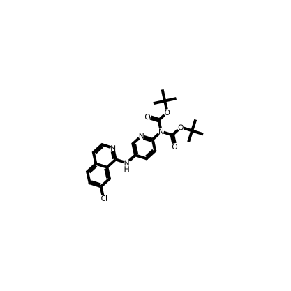 CC(C)(C)OC(=O)N(C(=O)OC(C)(C)C)c1ccc(Nc2nccc3ccc(Cl)cc23)cn1